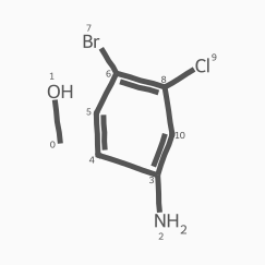 CO.Nc1ccc(Br)c(Cl)c1